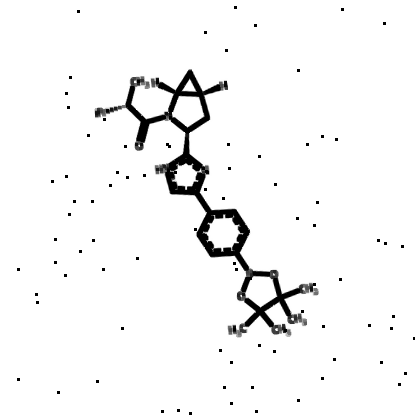 CC(C)[C@H](C)C(=O)N1[C@@H]2C[C@@H]2C[C@H]1c1nc(-c2ccc(B3OC(C)(C)C(C)(C)O3)cc2)c[nH]1